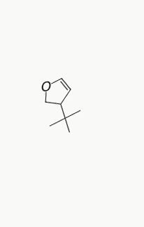 CC(C)(C)C1C=COC1